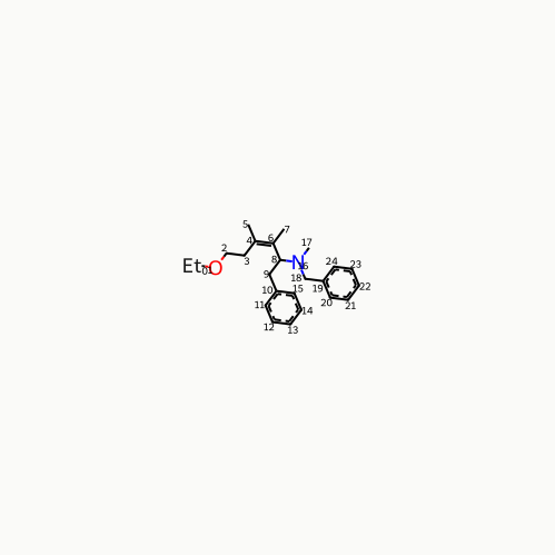 CCOCCC(C)=C(C)C(Cc1ccccc1)N(C)Cc1ccccc1